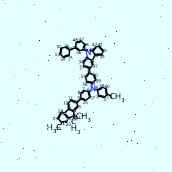 Cc1ccc(N(c2ccc(-c3ccc4c(c3)C(C)(C)c3cc(C)ccc3-4)cc2)c2ccc(-c3ccc4c(c3)c3ccccc3n4-c3cccc(-c4ccccc4)c3)cc2)cc1